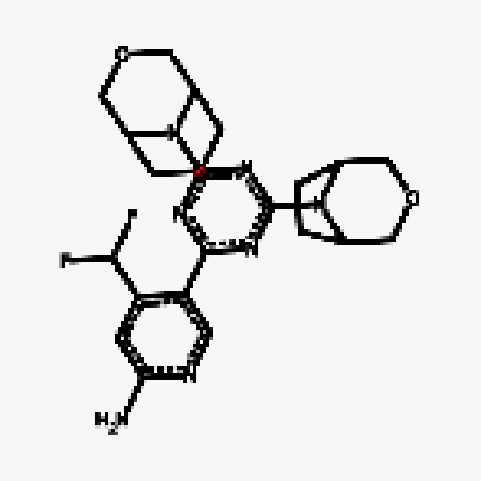 Nc1cc(C(F)F)c(-c2nc(N3C4CCC3COC4)nc(N3C4COCC3COC4)n2)cn1